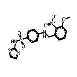 COc1cccc(CNc2ccc(S(=O)(=O)Nc3nccs3)cc2)c1[N+](=O)[O-]